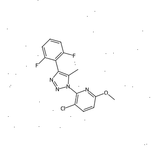 COc1ccc(Cl)c(-n2nnc(-c3c(F)cccc3F)c2C)n1